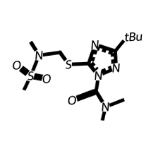 CN(C)C(=O)n1nc(C(C)(C)C)nc1SCN(C)S(C)(=O)=O